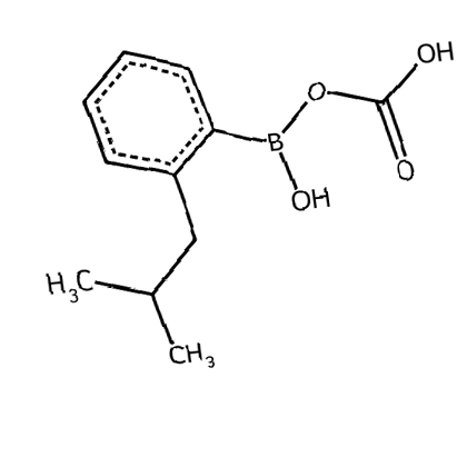 CC(C)Cc1ccccc1B(O)OC(=O)O